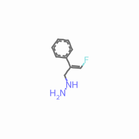 NNC/C(=C/F)c1ccccc1